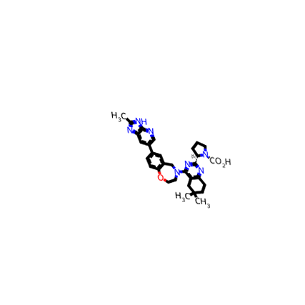 Cc1nc2cc(-c3ccc4c(c3)CN(c3nc([C@@H]5CCCN5C(=O)O)nc5c3CC(C)(C)CC5)CCO4)cnc2[nH]1